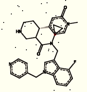 Cn1ccc([C@H]2CCNCC2C(=O)N(Cc2cn(Cc3ccncc3)c3cccc(F)c23)C2CC2)cc1=O